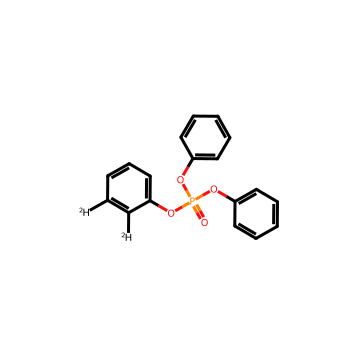 [2H]c1cccc(OP(=O)(Oc2ccccc2)Oc2ccccc2)c1[2H]